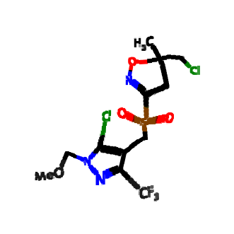 COCn1nc(C(F)(F)F)c(CS(=O)(=O)C2=NOC(C)(CCl)C2)c1Cl